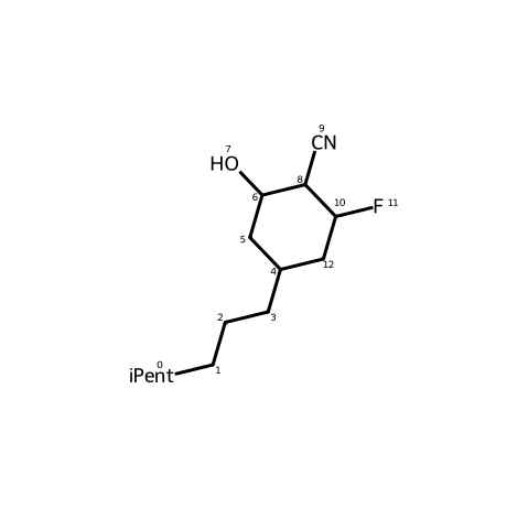 CCCC(C)CCCC1CC(O)C(C#N)C(F)C1